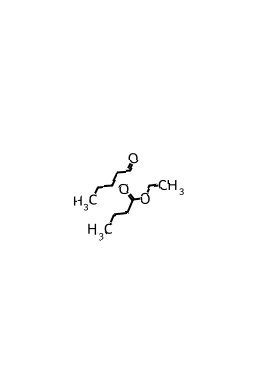 CCCC(=O)OCC.CCCCC=O